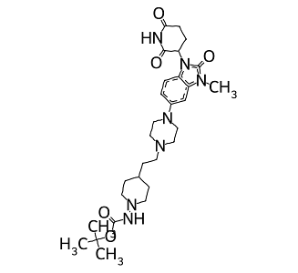 Cn1c(=O)n(C2CCC(=O)NC2=O)c2ccc(N3CCN(CCC4CCN(NC(=O)OC(C)(C)C)CC4)CC3)cc21